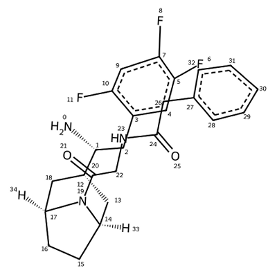 N[C@H](Cc1cc(F)c(F)cc1F)[C@@H]1C[C@H]2CC[C@@H](C1)N2C(=O)CNC(=O)Cc1ccccc1